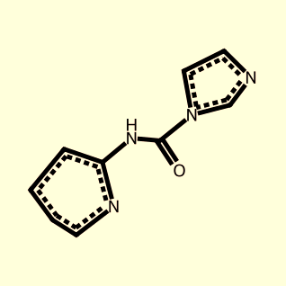 O=C(Nc1ccccn1)n1ccnc1